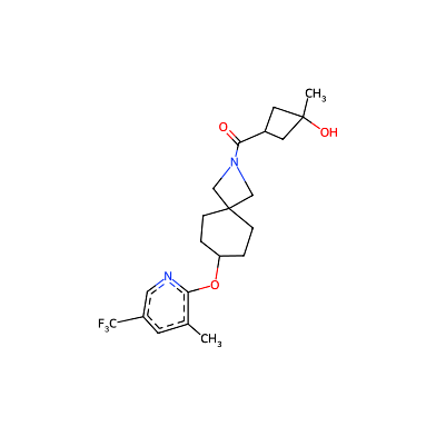 Cc1cc(C(F)(F)F)cnc1OC1CCC2(CC1)CN(C(=O)C1CC(C)(O)C1)C2